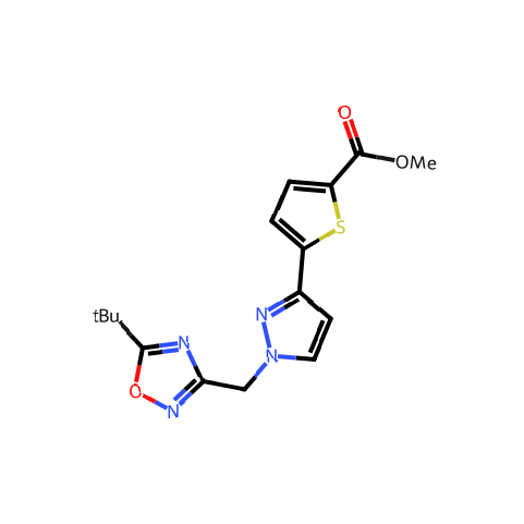 COC(=O)c1ccc(-c2ccn(Cc3noc(C(C)(C)C)n3)n2)s1